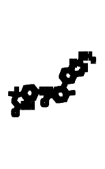 Cc1ccc(C(=O)Nc2ccc3c(c2)NC(=O)CC3(C)C)cc1-c1ccc2nc(N)ncc2c1